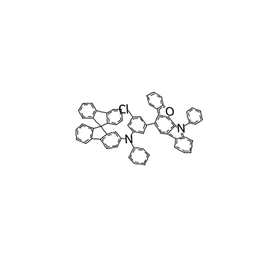 Clc1cc(-c2cc3c4ccccc4n(-c4ccccc4)c3c3oc4ccccc4c23)cc(N(c2ccccc2)c2ccc3c(c2)C2(c4ccccc4-c4ccccc42)c2ccccc2-3)c1